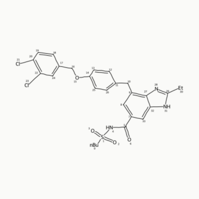 CCCCS(=O)(=O)NC(=O)c1cc(Cc2ccc(OCc3ccc(Cl)c(Cl)c3)cc2)c2nc(CC)[nH]c2c1